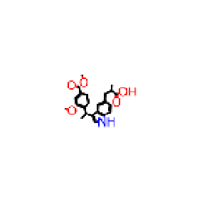 COC(=O)c1ccc(C(C)c2c[nH]c3ccc(CC(C)C(=O)O)cc23)c(OC)c1